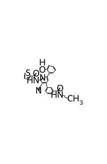 CCCNC(=O)c1cccc(-c2cc(-c3ccccc3O)nc(NC(=O)c3cccs3)c2C#N)c1